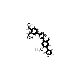 Cc1cc(-c2nc(-c3ccc(CO)c(CO)c3)no2)c(F)cc1C1C=CSC1